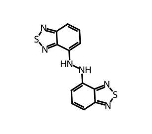 c1cc(NNc2cccc3nsnc23)c2nsnc2c1